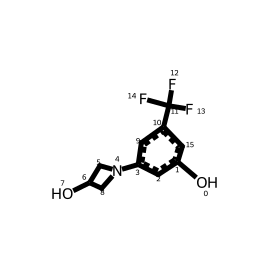 Oc1cc(N2CC(O)C2)cc(C(F)(F)F)c1